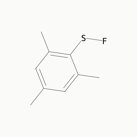 Cc1cc(C)c(SF)c(C)c1